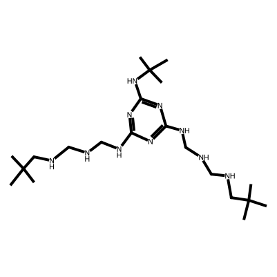 CC(C)(C)CNCNCNc1nc(NCNCNCC(C)(C)C)nc(NC(C)(C)C)n1